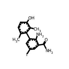 Cc1ccc(O)c(C)c1-c1cc(I)cc(C(N)=O)c1N